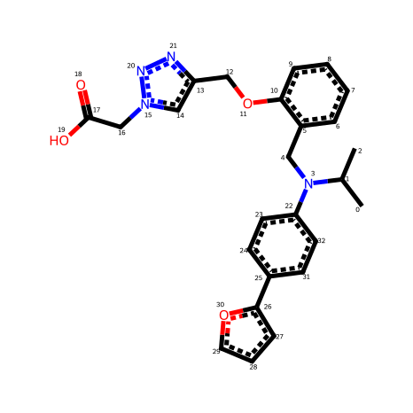 CC(C)N(Cc1ccccc1OCc1cn(CC(=O)O)nn1)c1ccc(-c2ccco2)cc1